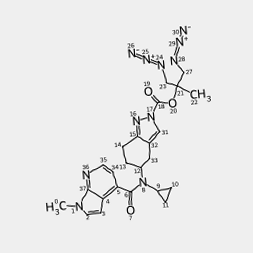 Cn1ccc2c(C(=O)N(C3CC3)C3CCc4nn(C(=O)OC(C)(CN=[N+]=[N-])CN=[N+]=[N-])cc4C3)ccnc21